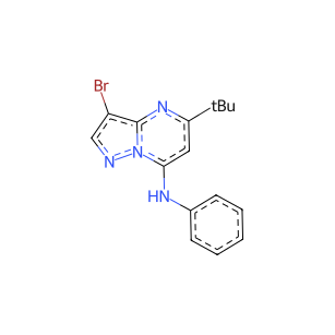 CC(C)(C)c1cc(Nc2ccccc2)n2ncc(Br)c2n1